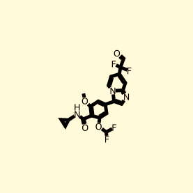 COc1cc(-c2cnc3cc(C(F)(F)C=O)ccn23)cc(OC(F)F)c1C(=O)NC1CC1